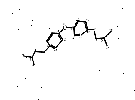 CC(C)CCc1ccc(Oc2ccc(CCC(C)C)cc2)cc1